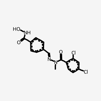 CN(/N=C/c1ccc(C(=O)NO)cc1)C(=O)c1ccc(Cl)cc1Cl